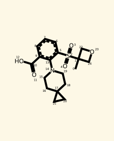 CC1(S(=O)(=O)c2cccc(C(=O)O)c2N2CCC3(CC2)CC3)COC1